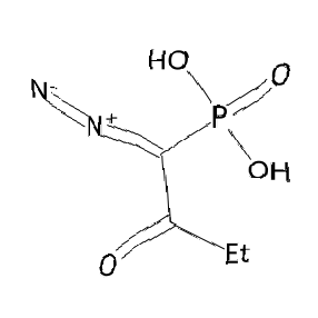 CCC(=O)C(=[N+]=[N-])P(=O)(O)O